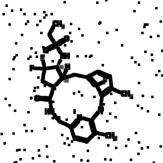 CCS(=O)(=O)N[C@@H]1[C@@H]2Cc3ccc(C)c(c3F)Oc3nc(ccc3C)CNC(=O)N2CC1(F)F